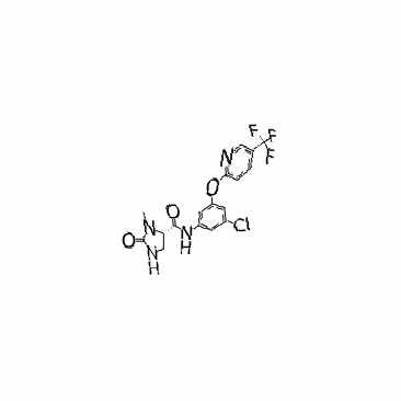 CN1C(=O)NC[C@H]1C(=O)Nc1cc(Cl)cc(Oc2ccc(C(F)(F)F)cn2)c1